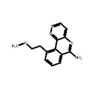 COCCc1cccc2c(N)nc3ccnnc3c12